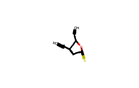 C#CC1CC(=S)OC1C#C